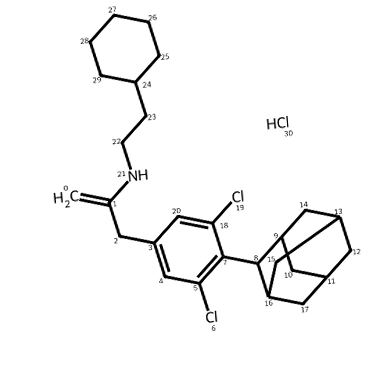 C=C(Cc1cc(Cl)c(C2C3CC4CC(C3)CC2C4)c(Cl)c1)NCCC1CCCCC1.Cl